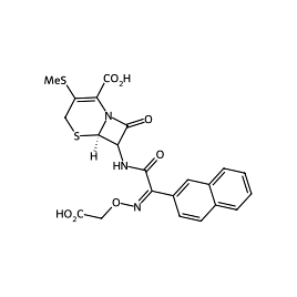 CSC1=C(C(=O)O)N2C(=O)C(NC(=O)/C(=N\OCC(=O)O)c3ccc4ccccc4c3)[C@H]2SC1